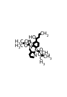 C=CCC(O)c1ccc2c(c1)N(C(=O)OC(C)(C)C)Cc1cccnc1N2C(=O)OC(C)(C)C